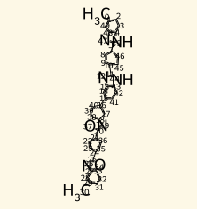 Cc1ccc2[nH]c(-c3ccc(-c4nc5cc(C6=CC7N=C(c8ccc(-c9nc%10cc(C)ccc%10o9)cc8)OC7C=C6)ccc5[nH]4)cc3)nc2c1